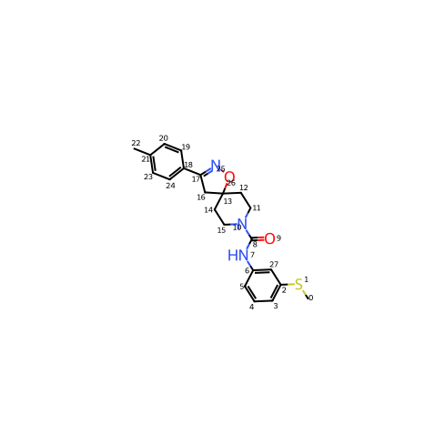 CSc1cccc(NC(=O)N2CCC3(CC2)CC(c2ccc(C)cc2)=NO3)c1